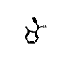 [C]#CC(CC)c1ccccc1C